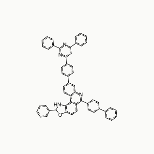 c1ccc(-c2ccc(-c3nc4cc(-c5ccc(-c6cc(-c7ccccc7)nc(-c7ccccc7)n6)cc5)ccc4c4c5c(ccc34)OC(c3ccccc3)N5)cc2)cc1